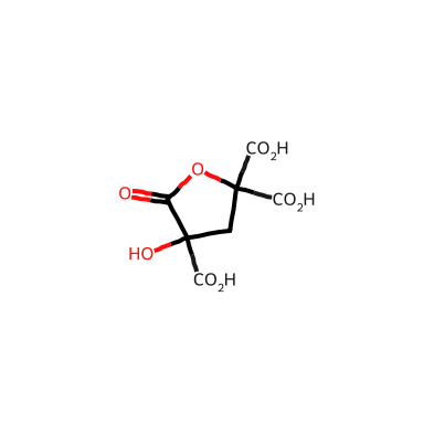 O=C(O)C1(O)CC(C(=O)O)(C(=O)O)OC1=O